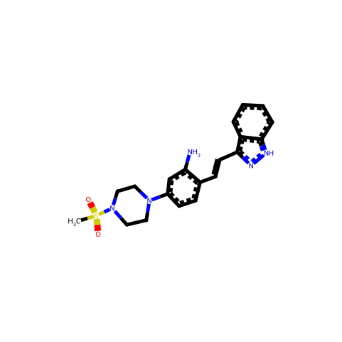 CS(=O)(=O)N1CCN(c2ccc(C=Cc3n[nH]c4ccccc34)c(N)c2)CC1